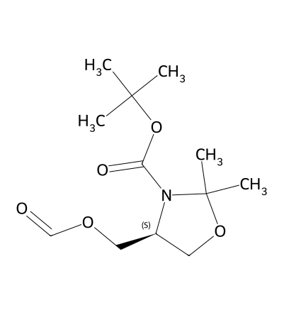 CC(C)(C)OC(=O)N1[C@H](COC=O)COC1(C)C